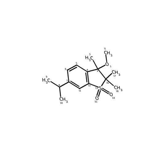 COC1(C)c2ccc(C(C)C)cc2S(=O)(=O)C1(C)C